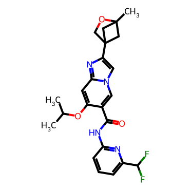 CC(C)Oc1cc2nc(C34COC(C)(C3)C4)cn2cc1C(=O)Nc1cccc(C(F)F)n1